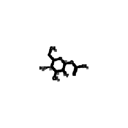 CCC1O[C@@H](OC(C)=O)C([18F])[C@@H](C)[C@@H]1C